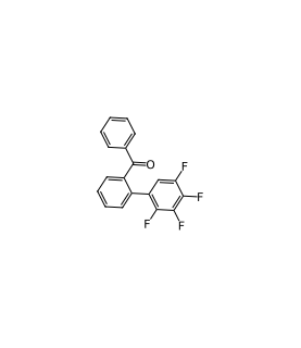 O=C(c1ccccc1)c1ccccc1-c1cc(F)c(F)c(F)c1F